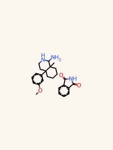 COc1cccc(C23CCCCC2(C)C(N)NCC3)c1.O=C1NC(=O)c2ccccc21